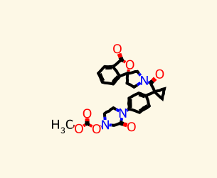 COC(=O)ON1CCN(c2ccc(C3(C(=O)N4CCC5(C4)OC(=O)c4ccccc45)CC3)cc2)C(=O)C1